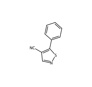 N#Cc1cnsc1-c1ccccc1